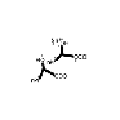 CCCC(O)C(=O)[O-].CCCC(O)C(=O)[O-].[Sn+2]